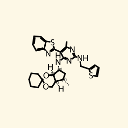 Cc1nc(NCc2cccs2)nc(N[C@@H]2C[C@H](C)[C@H]3COC4(CCCCC4)O[C@H]32)c1-c1nc2ccccc2s1